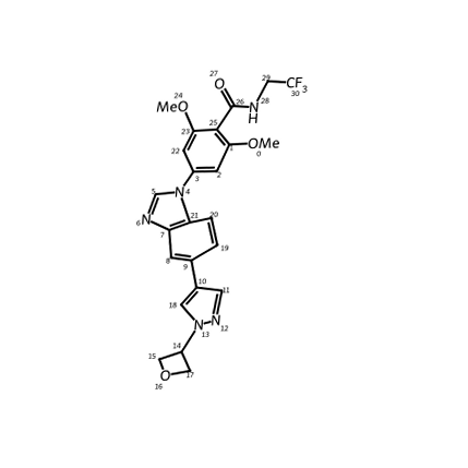 COc1cc(-n2cnc3cc(-c4cnn(C5COC5)c4)ccc32)cc(OC)c1C(=O)NCC(F)(F)F